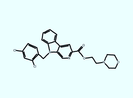 O=C(OCCN1CCOCC1)c1cc2c3ccccc3n(Cc3ccc(Cl)cc3Cl)c2cn1